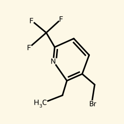 CCc1nc(C(F)(F)F)ccc1CBr